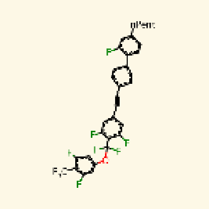 CCCCCc1ccc(-c2ccc(C#Cc3cc(F)c(C(F)(F)Oc4cc(F)c(C(F)(F)F)c(F)c4)c(F)c3)cc2)c(F)c1